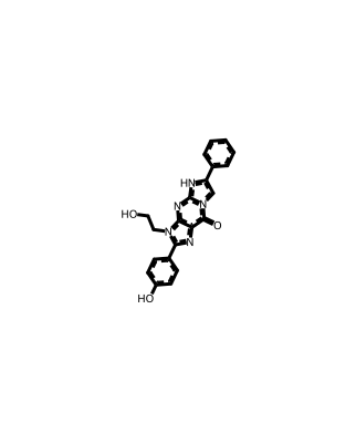 O=c1c2nc(-c3ccc(O)cc3)n(CCO)c2nc2[nH]c(-c3ccccc3)cn12